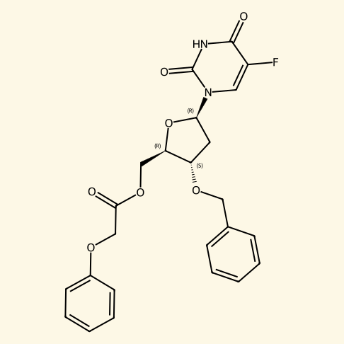 O=C(COc1ccccc1)OC[C@H]1O[C@@H](n2cc(F)c(=O)[nH]c2=O)C[C@@H]1OCc1ccccc1